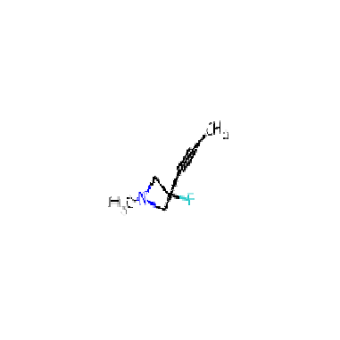 CC#CC1(F)CN(C)C1